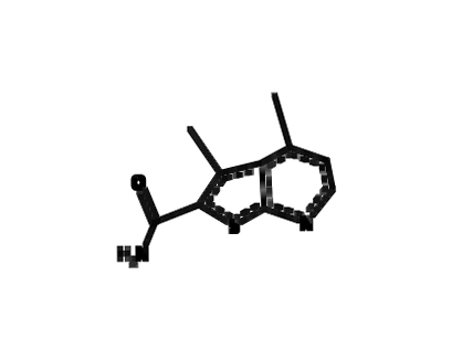 Cc1ccnc2sc(C(N)=O)c(C)c12